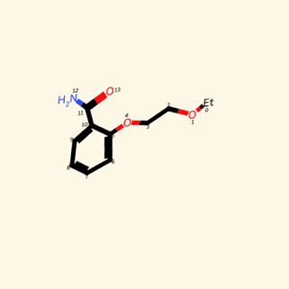 CCOCCOc1ccccc1C(N)=O